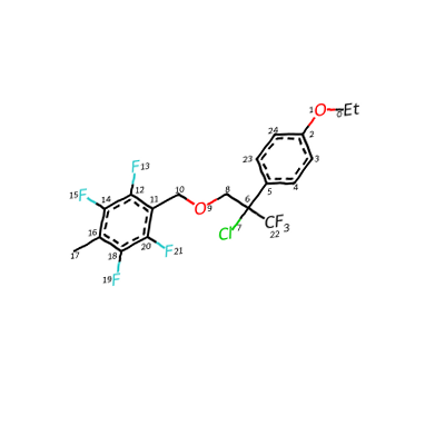 CCOc1ccc(C(Cl)(COCc2c(F)c(F)c(C)c(F)c2F)C(F)(F)F)cc1